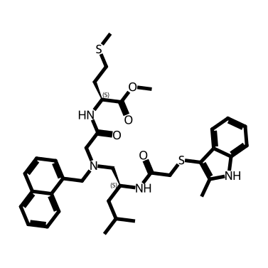 COC(=O)[C@H](CCSC)NC(=O)CN(Cc1cccc2ccccc12)C[C@H](CC(C)C)NC(=O)CSc1c(C)[nH]c2ccccc12